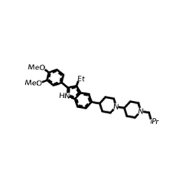 CCc1c(-c2ccc(OC)c(OC)c2)[nH]c2ccc(C3CCN(C4CCN(CC(C)C)CC4)CC3)cc12